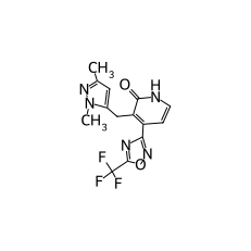 Cc1cc(Cc2c(-c3noc(C(F)(F)F)n3)cc[nH]c2=O)n(C)n1